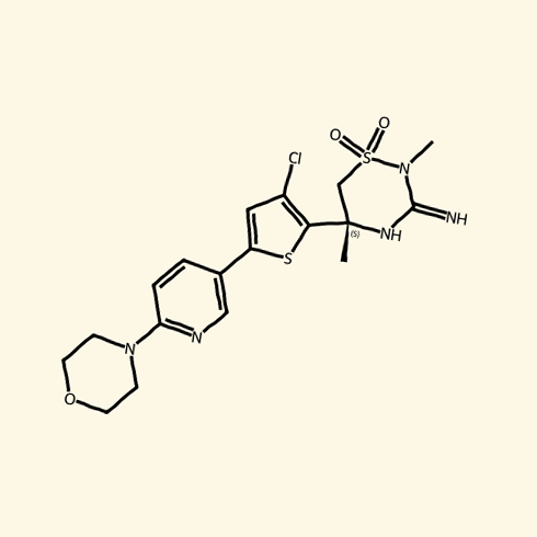 CN1C(=N)N[C@](C)(c2sc(-c3ccc(N4CCOCC4)nc3)cc2Cl)CS1(=O)=O